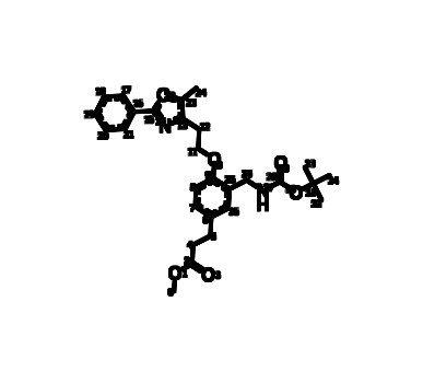 COC(=O)CCc1ccc(OCCc2nc(-c3ccccc3)oc2C)c(CNC(=O)OC(C)(C)C)c1